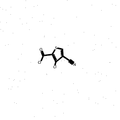 N#Cc1csc(C(=O)Cl)c1Cl